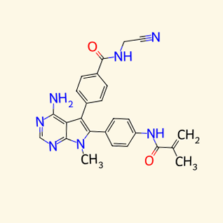 C=C(C)C(=O)Nc1ccc(-c2c(-c3ccc(C(=O)NCC#N)cc3)c3c(N)ncnc3n2C)cc1